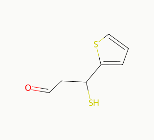 O=CCC(S)c1cccs1